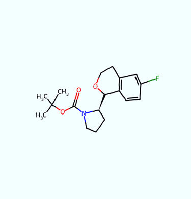 CC(C)(C)OC(=O)N1CCC[C@@H]1C1OCCc2cc(F)ccc21